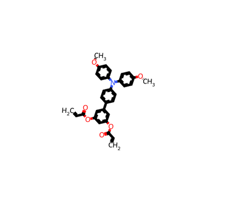 C=CC(=O)Oc1cc(OC(=O)C=C)cc(-c2ccc(N(c3ccc(OC)cc3)c3ccc(OC)cc3)cc2)c1